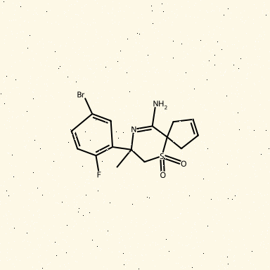 CC1(c2cc(Br)ccc2F)CS(=O)(=O)C2(CC=CC2)C(N)=N1